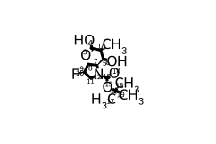 CC(C(=O)O)C(O)[C@@H]1C[C@H](F)CN1C(=O)OC(C)(C)C